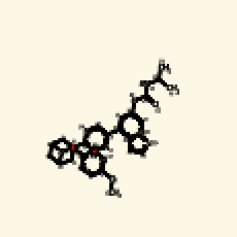 COc1ccc(CN2C3CC2CN(c2cnc(-c4cc(OC(=O)NC(C)C)cn5nccc45)cn2)C3)cn1